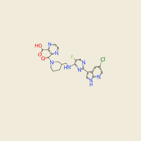 O=C(O)c1nccnc1C(=O)N1CCCC(CNc2nc(-c3c[nH]c4ncc(Cl)cc34)ncc2F)C1